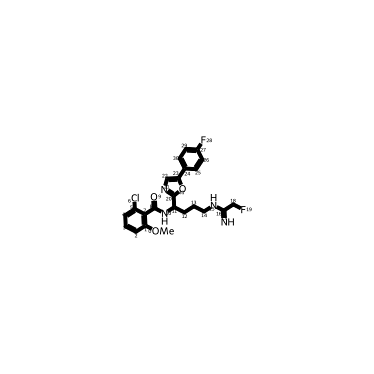 COc1cccc(Cl)c1C(=O)NC(CCCNC(=N)CF)c1ncc(-c2ccc(F)cc2)o1